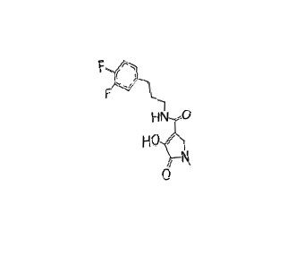 CN1CC(C(=O)NCCCc2ccc(F)c(F)c2)=C(O)C1=O